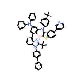 CC(C)(C)c1ccc(N2c3cc(N(c4ccccc4)c4ccccc4)cc4c3B(c3sc5ccc(-c6cccnc6)cc5c32)[n+]2c(C(C)(C)C)n(-c3ccc(-c5ccccc5)cc3)c3cccc-4c32)cc1